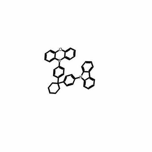 c1ccc2c(c1)Oc1ccccc1B2c1ccc(C2(c3ccc(-n4c5ccccc5c5ccccc54)cc3)CCCCC2)cc1